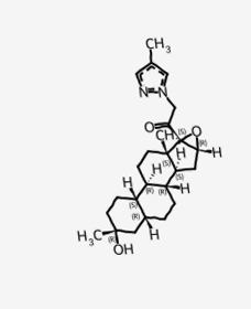 Cc1cnn(CC(=O)[C@@]23O[C@@H]2C[C@H]2[C@@H]4CC[C@@H]5C[C@](C)(O)CC[C@@H]5[C@H]4CC[C@@]23C)c1